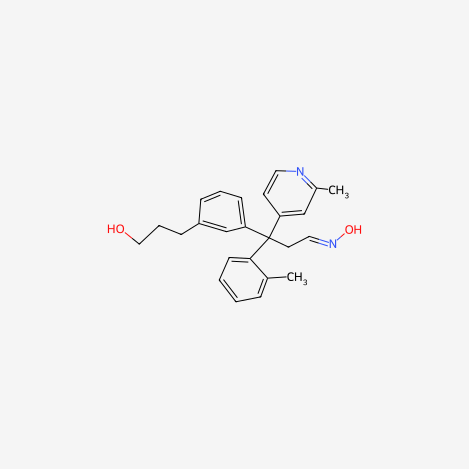 Cc1cc(C(CC=NO)(c2cccc(CCCO)c2)c2ccccc2C)ccn1